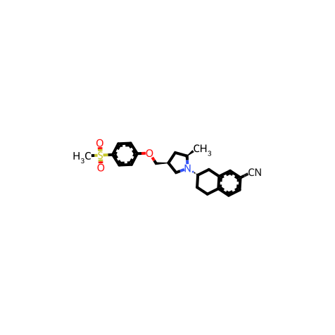 C[C@@H]1C[C@H](COc2ccc(S(C)(=O)=O)cc2)CN1[C@H]1CCc2ccc(C#N)cc2C1